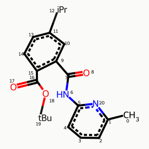 Cc1cccc(NC(=O)c2cc(C(C)C)ccc2C(=O)OC(C)(C)C)n1